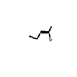 CC/C=C(/C)[S]